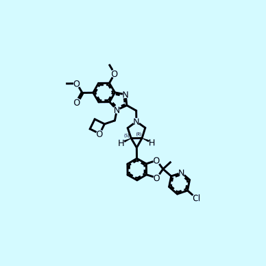 COC(=O)c1cc(OC)c2nc(CN3C[C@@H]4C(c5cccc6c5OC(C)(c5ccc(Cl)cn5)O6)[C@@H]4C3)n(CC3CCO3)c2c1